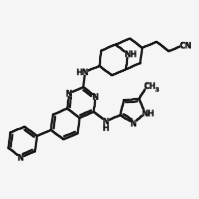 Cc1cc(Nc2nc(NC3CC4CC(CCC#N)CC(C3)N4)nc3cc(-c4cccnc4)ccc23)n[nH]1